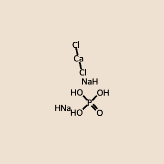 O=P(O)(O)O.[Cl][Ca][Cl].[NaH].[NaH]